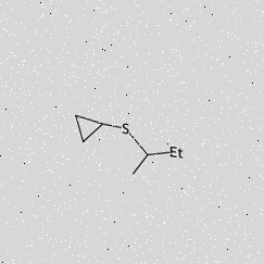 CCC(C)SC1CC1